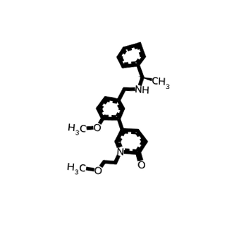 COCCn1cc(-c2cc(CN[C@H](C)c3ccccc3)ccc2OC)ccc1=O